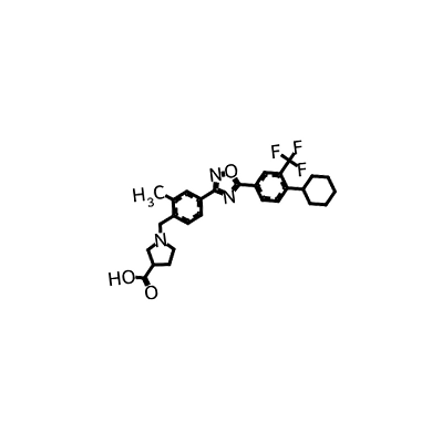 Cc1cc(-c2noc(-c3ccc(C4CCCCC4)c(C(F)(F)F)c3)n2)ccc1CN1CCC(C(=O)O)C1